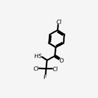 O=C(c1ccc(Cl)cc1)C(S)C(F)(Cl)Cl